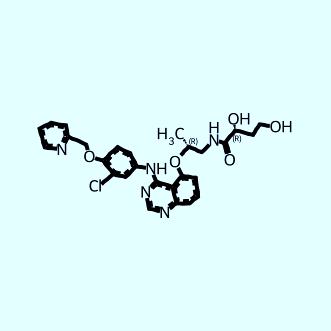 C[C@H](CNC(=O)[C@H](O)CCO)Oc1cccc2ncnc(Nc3ccc(OCc4ccccn4)c(Cl)c3)c12